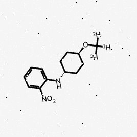 [2H]C([2H])([2H])O[C@H]1CC[C@H](Nc2ccccc2[N+](=O)[O-])CC1